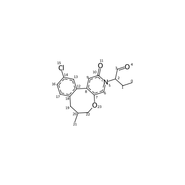 CCC(C=O)n1cc2c(cc1=O)-c1cc(Cl)ccc1CC(C)CO2